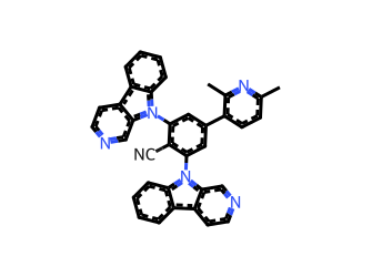 Cc1ccc(-c2cc(-n3c4ccccc4c4ccncc43)c(C#N)c(-n3c4ccccc4c4ccncc43)c2)c(C)n1